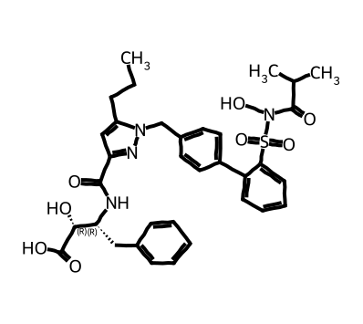 CCCc1cc(C(=O)N[C@H](Cc2ccccc2)[C@@H](O)C(=O)O)nn1Cc1ccc(-c2ccccc2S(=O)(=O)N(O)C(=O)C(C)C)cc1